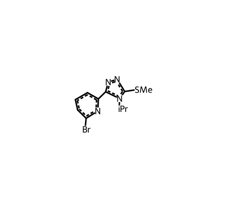 CSc1nnc(-c2cccc(Br)n2)n1C(C)C